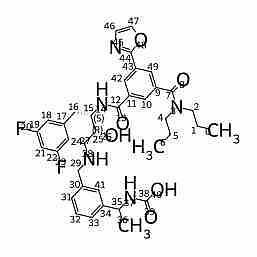 CCCN(CCC)C(=O)c1cc(C(=O)N[C@@H](Cc2cc(F)cc(F)c2)[C@H](O)CNCc2cccc(C(C)NC(=O)O)c2)cc(-c2ncco2)c1